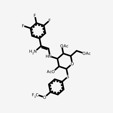 CC(=O)OCC1OC(Sc2ccc(OC(F)(F)F)cc2)C(OC(C)=O)C(N/C=C(\N)c2cc(F)c(F)c(F)c2)C1OC(C)=O